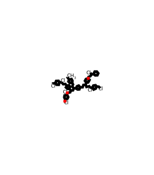 CCc1ccc(CCC(CC(CC(Cl)c2ccc(CCl)cc2)c2ccc(CCC(Cl)c3ccc(CCl)cc3)cc2)c2ccc(CCC(CCC(Cl)c3ccc(CCl)cc3)c3ccc(CCC(Cl)c4ccccc4)cc3)cc2)cc1